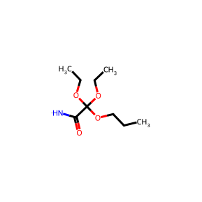 CCCOC(OCC)(OCC)C([NH])=O